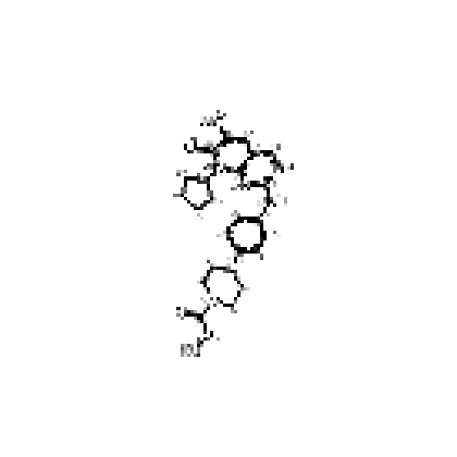 CC(C)(C)OC(=O)N1CCN(c2ccc(Nc3ncc4cc(C#N)c(=O)n(C5CCCC5)c4n3)cc2)CC1